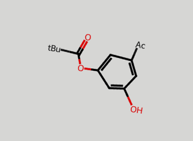 CC(=O)c1cc(O)cc(OC(=O)C(C)(C)C)c1